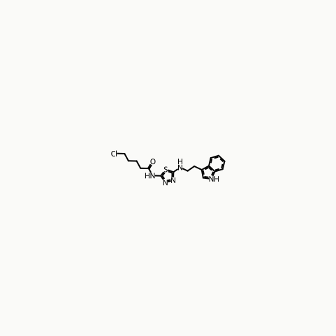 O=C(CCCCCl)Nc1nnc(NCCc2c[nH]c3ccccc23)s1